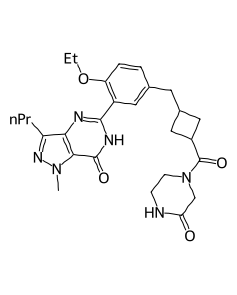 CCCc1nn(C)c2c(=O)[nH]c(-c3cc(CC4CC(C(=O)N5CCNC(=O)C5)C4)ccc3OCC)nc12